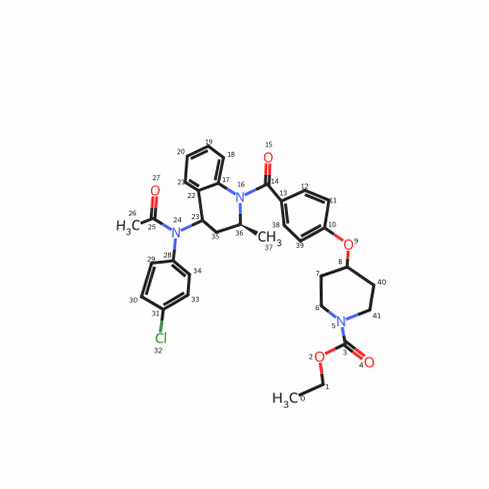 CCOC(=O)N1CCC(Oc2ccc(C(=O)N3c4ccccc4C(N(C(C)=O)c4ccc(Cl)cc4)C[C@@H]3C)cc2)CC1